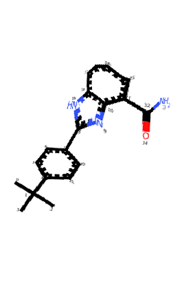 CC(C)(C)c1ccc(-c2nc3c(C(N)=O)cccc3[nH]2)cc1